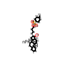 CCC[C@@H]1Cc2ccccc2[C@H]2CC[C@]3(C)C(=O)[C@H](CCCCOS(=O)(=O)c4ccc(C)cc4)C[C@H]3[C@H]12